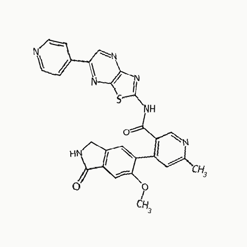 COc1cc2c(cc1-c1cc(C)ncc1C(=O)Nc1nc3ncc(-c4ccncc4)nc3s1)CNC2=O